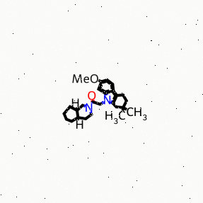 COc1ccc2c3c(n(CC(=O)N4CC[C@H]5CCCC[C@@H]5C4)c2c1)CC(C)(C)CC3